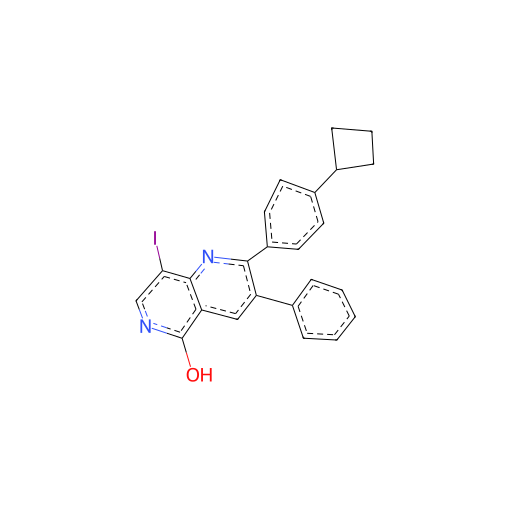 Oc1ncc(I)c2nc(-c3ccc(C4CCC4)cc3)c(-c3ccccc3)cc12